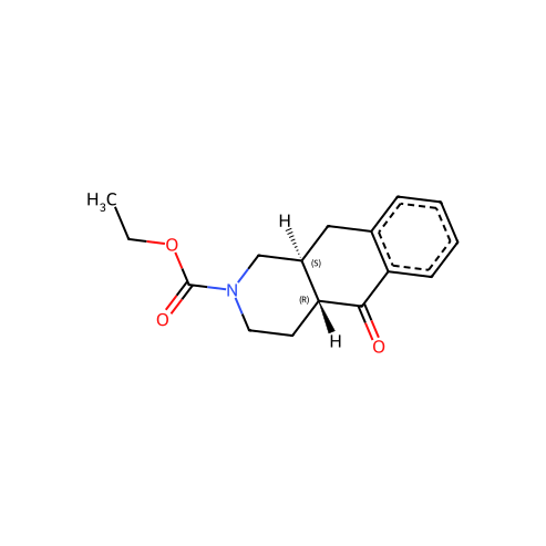 CCOC(=O)N1CC[C@H]2C(=O)c3ccccc3C[C@@H]2C1